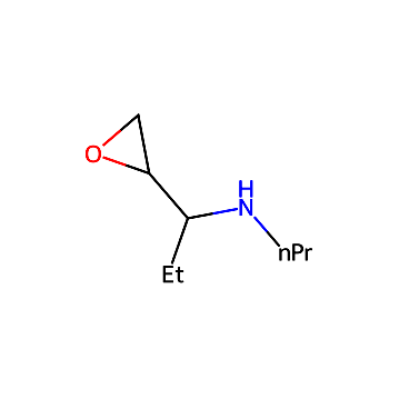 CCCNC(CC)C1CO1